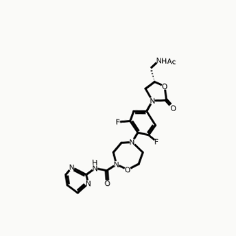 CC(=O)NC[C@H]1CN(c2cc(F)c(N3CCON(C(=O)Nc4ncccn4)CC3)c(F)c2)C(=O)O1